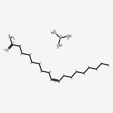 CCCCCCCC/C=C\CCCCCCCC(N)=O.OB(O)O